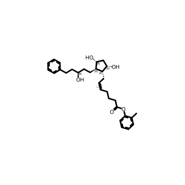 Cc1ccccc1OC(=O)CCC/C=C\C[C@@H]1[C@@H](CC[C@@H](O)CCc2ccccc2)[C@H](O)C[C@@H]1O